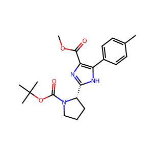 COC(=O)c1nc([C@@H]2CCCN2C(=O)OC(C)(C)C)[nH]c1-c1ccc(C)cc1